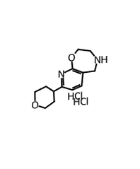 Cl.Cl.c1cc2c(nc1C1CCOCC1)OCCNC2